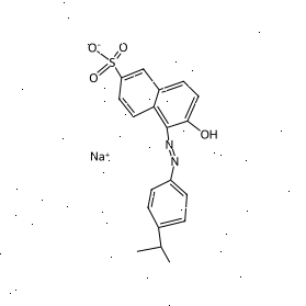 CC(C)c1ccc(N=Nc2c(O)ccc3cc(S(=O)(=O)[O-])ccc23)cc1.[Na+]